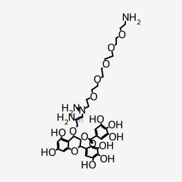 NCCOCCOCCOCCOCCOCCN(N)/C=C(\N)COC1c2c(O)cc(O)cc2OC(c2cc(O)c(O)c(O)c2)C1OC(=O)c1cc(O)c(O)c(O)c1